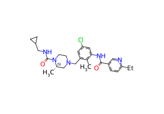 CCc1ccc(C(=O)Nc2cc(Cl)cc(CN3CCN(C(=O)NCC4CC4)[C@@H](C)C3)c2C)cn1